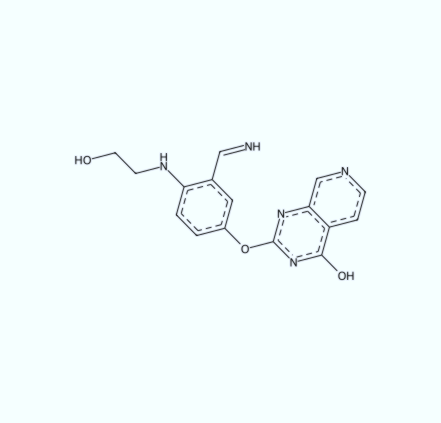 N=Cc1cc(Oc2nc(O)c3ccncc3n2)ccc1NCCO